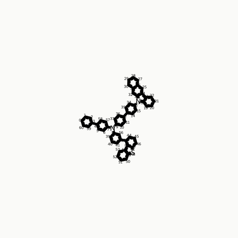 c1ccc(-c2ccc(N(c3ccc(-c4ccc(-n5c6ccccc6c6cc7ccccc7cc65)cc4)cc3)c3cccc(-c4cccc5sc6ccccc6c45)c3)cc2)cc1